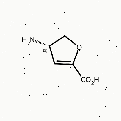 N[C@H]1C=C(C(=O)O)OC1